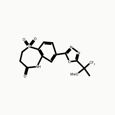 COC(C)(c1nnc(-c2ccc3c(c2)NC(=O)CCS3(=O)=O)o1)C(F)(F)F